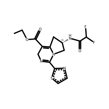 CCOC(=O)C1=C2C[C@H](NC(=O)C(F)F)CN2C(c2nccs2)=NC1